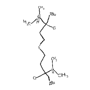 C[SiH](C)C(Cl)(CCSCCC(Cl)([SiH](C)C)C(C)(C)C)C(C)(C)C